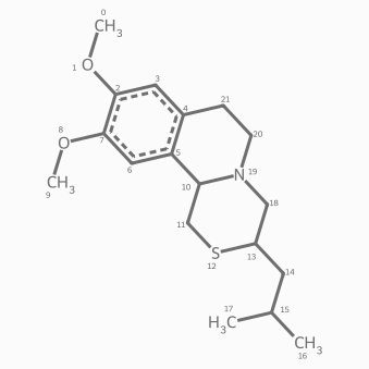 COc1cc2c(cc1OC)C1CSC(CC(C)C)CN1CC2